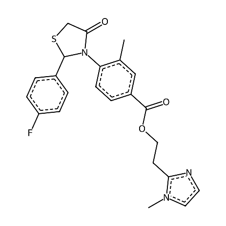 Cc1cc(C(=O)OCCc2nccn2C)ccc1N1C(=O)CSC1c1ccc(F)cc1